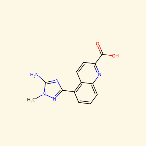 Cn1nc(-c2cccc3nc(C(=O)O)ccc23)nc1N